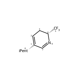 CCC[C@@H](C)C1=CC[C@H](C(F)(F)F)N=C1